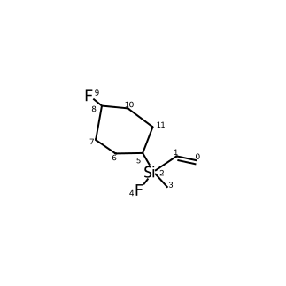 C=C[Si](C)(F)C1CCC(F)CC1